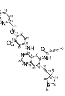 CC#CC(=O)Nc1cc2c(Nc3ccc(OCc4ccccn4)c(Cl)c3)ncnc2cc1C#CC1(C)CCN(C)C1